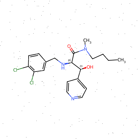 CCCCN(C)C(=O)[C@H](NCc1ccc(Cl)c(Cl)c1)[C@@H](O)c1ccncc1